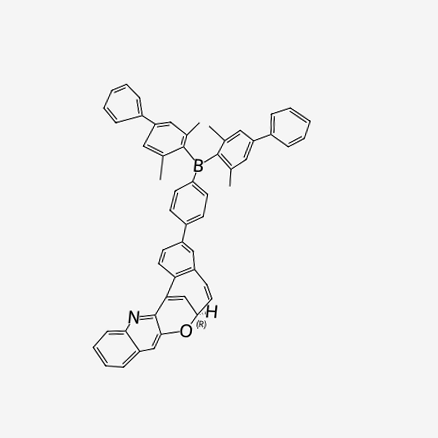 Cc1cc(-c2ccccc2)cc(C)c1B(c1ccc(-c2ccc3c(c2)C=C[C@@H]2C=C3c3nc4ccccc4cc3O2)cc1)c1c(C)cc(-c2ccccc2)cc1C